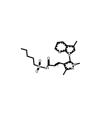 CCCCCS(=O)(=O)NC(=O)/C=C/c1c(C)nn(C)c1-n1cc(C)c2cccnc21